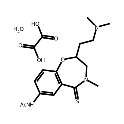 CC(=O)Nc1ccc2c(c1)C(=S)N(C)CC(CCN(C)C)O2.O.O=C(O)C(=O)O